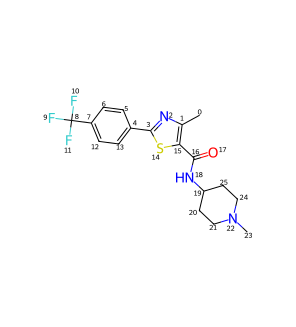 Cc1nc(-c2ccc(C(F)(F)F)cc2)sc1C(=O)NC1CCN(C)CC1